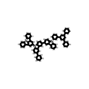 c1ccc(-c2cc(-c3ccccc3)cc(-c3cccc(-n4c5ccccc5c5cc(-c6ccc7c(c6)c6cc(-c8ccccc8)ccc6n7-c6cc7c8ccccc8n8c9ccccc9c(c6)c78)ccc54)c3)c2)cc1